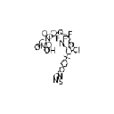 CSc1nccc(COc2ccc(C(C)(C)c3cc(Cl)c(OCCC(F)(F)CCOc4ccc5c(c4F)CN(C4CCC(=O)N(CO)C4=O)C5=O)c(C#N)c3)cc2)n1